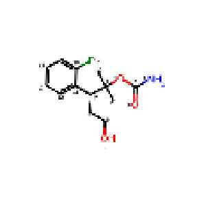 CC(C)(OC(N)=O)[C@@H](CCO)c1ccccc1F